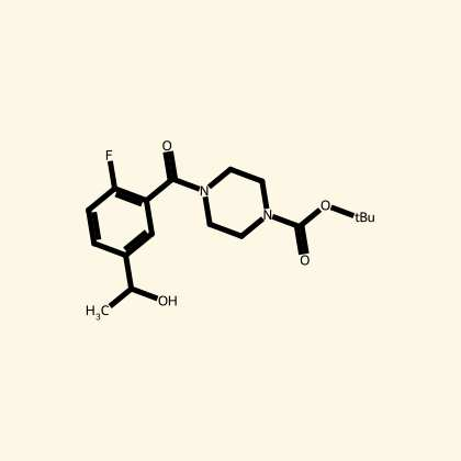 CC(O)c1ccc(F)c(C(=O)N2CCN(C(=O)OC(C)(C)C)CC2)c1